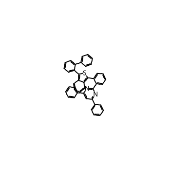 c1ccc(-c2cc(-c3ccccc3)nc(-c3ccccc3-c3sc(-c4ccccc4-c4ccccc4)c4ccccc34)n2)cc1